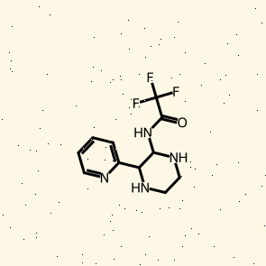 O=C(NC1NCCNC1c1ccccn1)C(F)(F)F